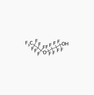 OC(F)(F)C(F)(F)C(F)(F)C(F)(F)OC(F)(F)C(F)(F)C(F)(F)C(F)(F)F